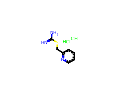 Cl.Cl.N=C(N)SCc1ccccn1